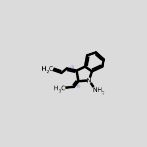 C=C/C=c1\c(=C/C)n(N)c2ccccc12